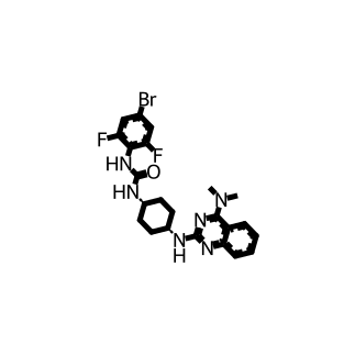 CN(C)c1nc(N[C@H]2CC[C@@H](NC(=O)Nc3c(F)cc(Br)cc3F)CC2)nc2ccccc12